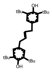 CC(C)(C)c1cc(CC=CCc2cc(C(C)(C)C)c(O)c(C(C)(C)C)c2)cc(C(C)(C)C)c1O